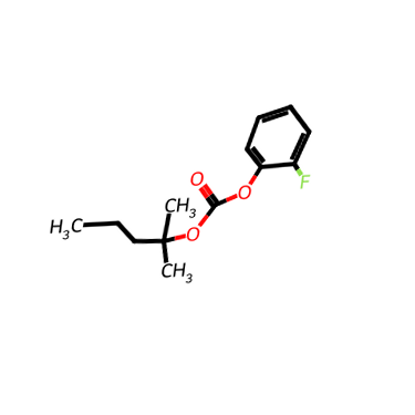 CCCC(C)(C)OC(=O)Oc1ccccc1F